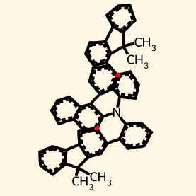 CC1(C)c2ccccc2-c2ccc(-c3ccccc3N(c3cccc(-c4cccc5c4C(C)(C)c4ccccc4-5)c3)c3ccc4ccccc4c3-c3ccccc3)cc21